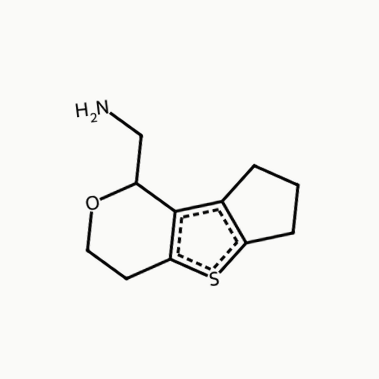 NCC1OCCc2sc3c(c21)CCC3